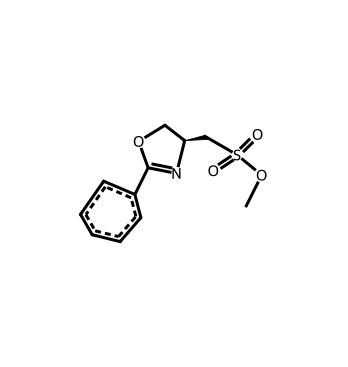 COS(=O)(=O)C[C@@H]1COC(c2ccccc2)=N1